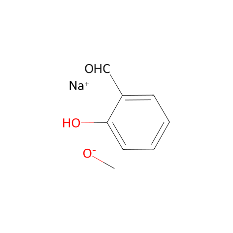 C[O-].O=Cc1ccccc1O.[Na+]